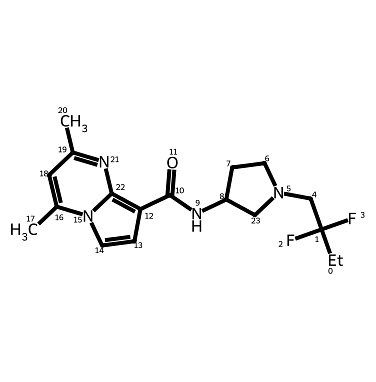 CCC(F)(F)CN1CCC(NC(=O)c2ccn3c(C)cc(C)nc23)C1